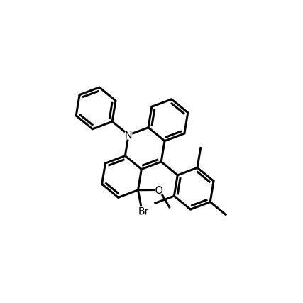 COC1(Br)C=CC=C2C1=C(c1c(C)cc(C)cc1C)c1ccccc1N2c1ccccc1